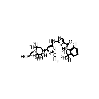 [2H]C([2H])([2H])c1cccc(Cl)c1NC(=O)c1cnc(Nc2cc(N3CC([2H])([2H])N(CCO)C([2H])([2H])C3([2H])[2H])nc(C)n2)s1